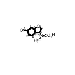 CN(C(=O)O)[C@@H]1COc2cc(Br)ccc21